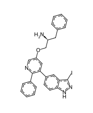 N[C@H](COc1cnc(-c2ccccc2)c(-c2ccc3[nH]nc(I)c3c2)c1)Cc1ccccc1